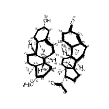 CC(=O)[C@H]1CC[C@H]2[C@@H]3CCC4=CC(=O)CC[C@]4(C)[C@H]3CC[C@]12C.C[C@]12CC[C@H]3[C@@H](CC=C4C[C@@H](O)CC[C@@]43C)[C@@H]1CC[C@@H]2O